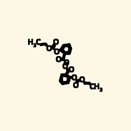 CCCOC(=O)Oc1ccccc1C(=O)OOC(=O)c1ccccc1OC(=O)OCCC